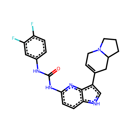 O=C(Nc1ccc(F)c(F)c1)Nc1ccc2[nH]cc(C3=CCN4CCCC4C3)c2n1